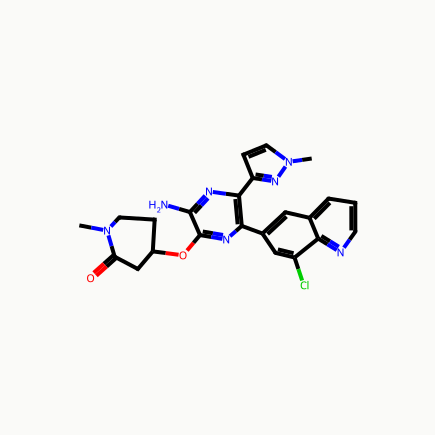 CN1CCC(Oc2nc(-c3cc(Cl)c4ncccc4c3)c(-c3ccn(C)n3)nc2N)CC1=O